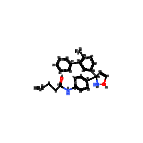 O=C(O)CCC(=O)Nc1ccc(C2(c3ccc(C(F)(F)F)c(-c4ccccc4)c3)C=CON2)cc1